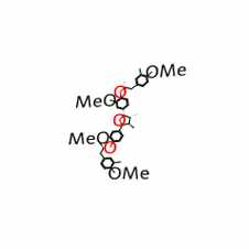 COc1ccc(C[C@@H](C)Oc2ccc(C3O[C@H](c4ccc(O[C@H](C)Cc5ccc(OC)c(C)c5)c(OC)c4)[C@H](C)[C@H]3C)cc2OC)cc1C